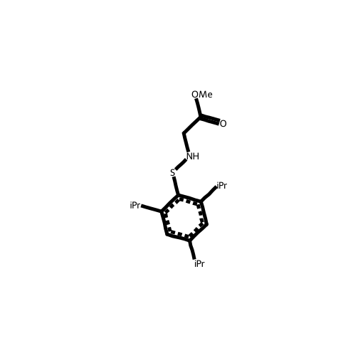 COC(=O)CNSc1c(C(C)C)cc(C(C)C)cc1C(C)C